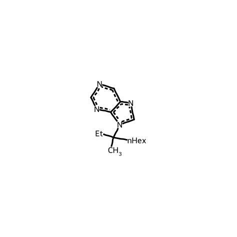 CCCCCCC(C)(CC)n1cnc2cncnc21